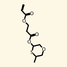 C=CC(=O)OCCC(=O)OC1COCC(C)S1